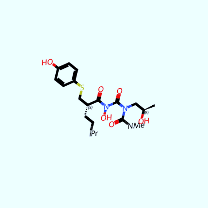 CNC(=O)N(C[C@@H](C)O)C(=O)N(O)C(=O)[C@H](CCC(C)C)CSc1ccc(O)cc1